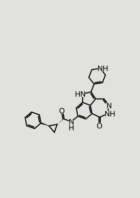 O=C1NN=Cc2c(C3=CCNCC3)[nH]c3cc(NC(=O)[C@@H]4C[C@H]4c4ccccc4)cc1c23